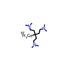 CN(C)CC[C]([GeH3])(CCN(C)C)CCN(C)C.[H-]